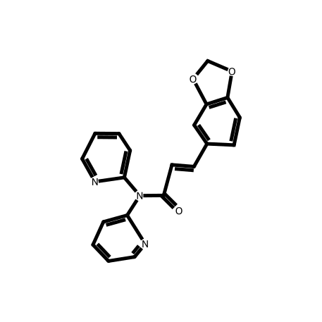 O=C(C=Cc1ccc2c(c1)OCO2)N(c1ccccn1)c1ccccn1